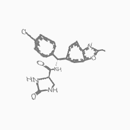 Cc1nc2ccc([C@H](NC(=O)C3CNC(=O)N3)c3ccc(Cl)cc3)cc2o1